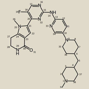 CN1CCC(CC2CCN(c3ccc(Nc4ncc(F)c(-c5cc6c(n5C)CCNC6=O)n4)nc3)CC2)CC1